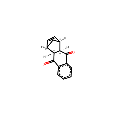 O=C1c2ccccc2C(=O)[C@H]2[C@@H]1[C@H]1C=C[C@@H]2C1